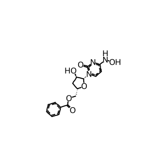 O=C(OC[C@@H]1C[C@@H](O)[C@H](n2ccc(NO)nc2=O)O1)c1ccccc1